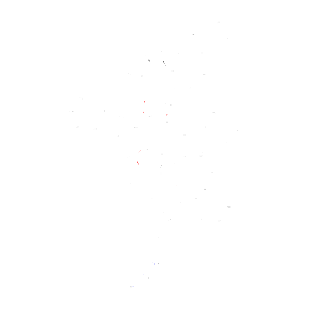 CCC1O[C@@H](OCCCN=[N+]=[N-])C(OC(=O)c2ccccc2)[C@H](C)[C@@H]1O[C@@H]1OC(COC(=O)c2ccccc2)[C@H](O)[C@H](O[C@@H]2OC3COC(c4ccccc4)O[C@H]3[C@H](C)C2C)C1OC(=O)c1ccccc1